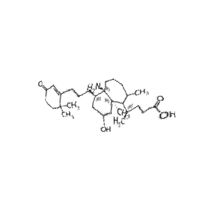 CC1CCC[C@@]2(N)[C@H](CCCC3=CC(=O)CCC3(C)C)CC(O)C[C@]2(C)C1[C@H](C)CCC(=O)O